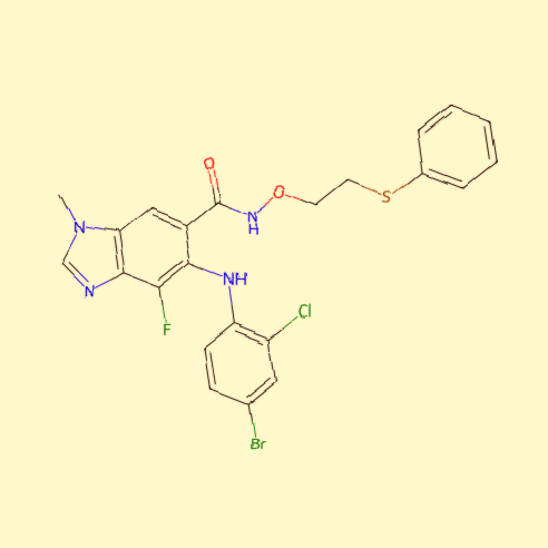 Cn1cnc2c(F)c(Nc3ccc(Br)cc3Cl)c(C(=O)NOCCSc3ccccc3)cc21